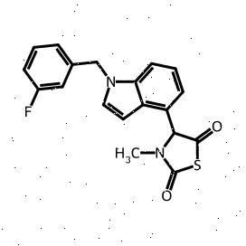 CN1C(=O)SC(=O)C1c1cccc2c1ccn2Cc1cccc(F)c1